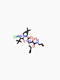 C#CCC[C@H](NC(=O)[C@@H]1C2C(CN1C(=O)[C@@H](NCl)C(C)(C)C)C2(C)C)C(O)C(=O)NCC=C